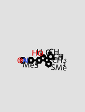 CSc1ccc2c(c1)C1(CC(C)(C)CC(C)(C)C1)c1cc(O)c3cc(-c4ccc(N5CCOCC5)cc4)c(SC)cc3c1-2